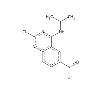 CC(C)Nc1nc(Cl)nc2ccc([N+](=O)[O-])cc12